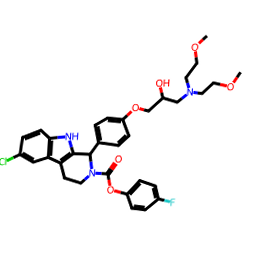 COCCN(CCOC)CC(O)COc1ccc(C2c3[nH]c4ccc(Cl)cc4c3CCN2C(=O)Oc2ccc(F)cc2)cc1